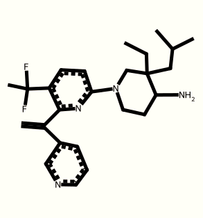 C=C(c1cccnc1)c1nc(N2CCC(N)C(CC)(CC(C)C)C2)ccc1C(C)(F)F